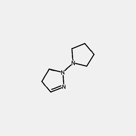 C1=NN(N2CCCC2)CC1